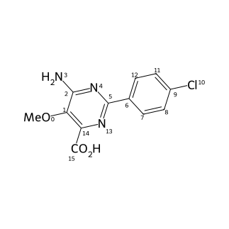 COc1c(N)nc(-c2ccc(Cl)cc2)nc1C(=O)O